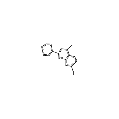 Cc1cc(-c2ccccc2)nc2cc(I)ccc12